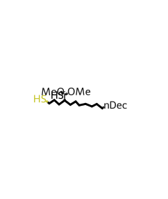 CCCCCCCCCCCCCCCCCC(CCCS)[SiH](OC)OC